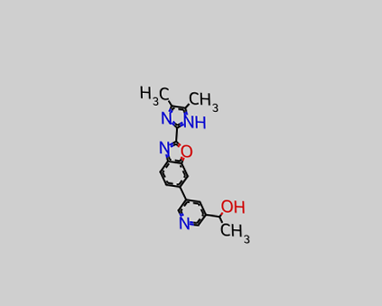 Cc1nc(-c2nc3ccc(-c4cncc(C(C)O)c4)cc3o2)[nH]c1C